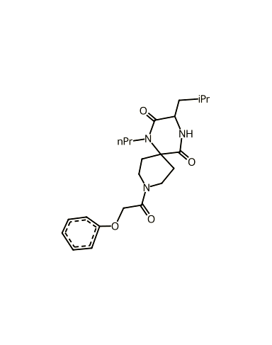 CCCN1C(=O)C(CC(C)C)NC(=O)C12CCN(C(=O)COc1ccccc1)CC2